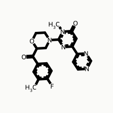 Cc1cc(C(=O)C2CN(c3nc(-c4ccncn4)cc(=O)n3C)CCO2)ccc1F